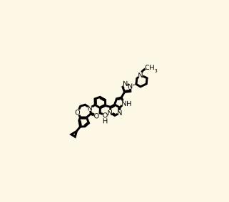 CCN1CCC[C@H](n2cc(-c3cc4c(-c5cccc(N6CCOc7cc(C8CC8)ccc7C6=O)c5CO)ncnc4[nH]3)cn2)C1